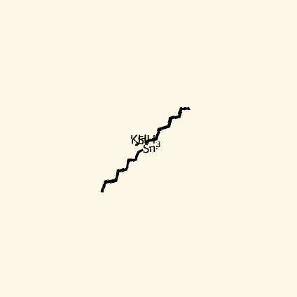 CCCCCCC[CH2][Sn][CH2]CCCCCCC.C[SiH3].[KH]